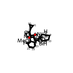 COC(=O)c1cnc(N2[C@@H]3CC[C@H]2C[C@H](OCc2c(-c4c(F)cccc4F)noc2C2CC2)C3)c(Br)c1